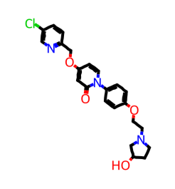 O=c1cc(OCc2ccc(Cl)cn2)ccn1-c1ccc(OCCN2CCC(O)C2)cc1